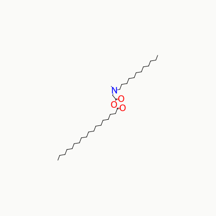 CCCCCCCCCCCCCCCCCC(=O)OC(=O)CN(C)CCCCCCCCCCCC